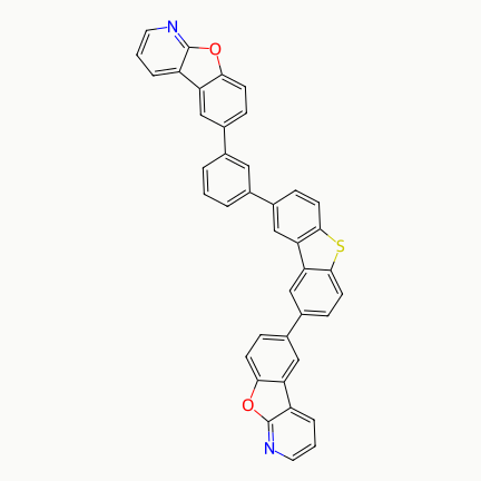 c1cc(-c2ccc3oc4ncccc4c3c2)cc(-c2ccc3sc4ccc(-c5ccc6oc7ncccc7c6c5)cc4c3c2)c1